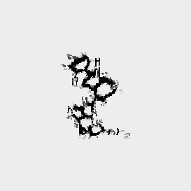 N[C@H]1CCCN(c2nc(-c3ccnc4[nH]c(-c5ccccc5Cl)cc34)nc3cncc(C4CC4)c23)C1